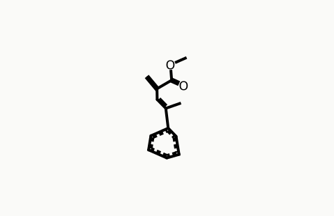 C=C(C=C(C)c1ccccc1)C(=O)OC